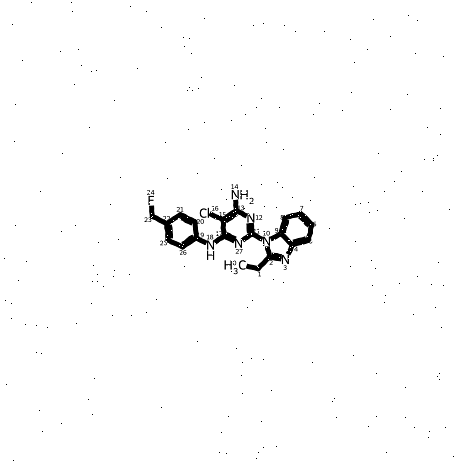 CCc1nc2ccccc2n1-c1nc(N)c(Cl)c(Nc2ccc(CF)cc2)n1